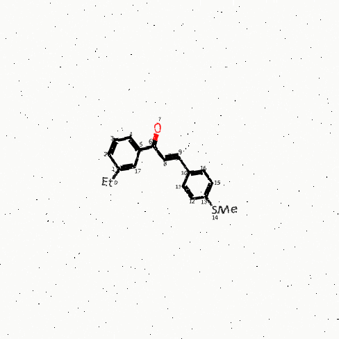 CCc1cccc(C(=O)C=Cc2ccc(SC)cc2)c1